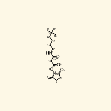 C=C1CCC(=O)N1OC(=O)CC(=O)NCCCCC(C)(C)C